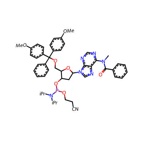 COc1ccc(C(OCC2OC(n3cnc4c(N(C)C(=O)c5ccccc5)ncnc43)CC2OP(OCCC#N)N(C(C)C)C(C)C)(c2ccccc2)c2ccc(OC)cc2)cc1